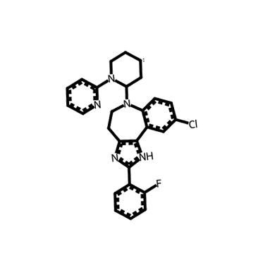 Fc1ccccc1-c1nc2c([nH]1)-c1cc(Cl)ccc1N(C1C[C]CCN1c1ccccn1)CC2